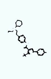 C=CC[N+](C)(CCc1ccc(NC(=O)c2cc(-c3ccc(Cl)cc3)oc2C(F)(F)F)cc1)C1CCCCC1.[Cl-]